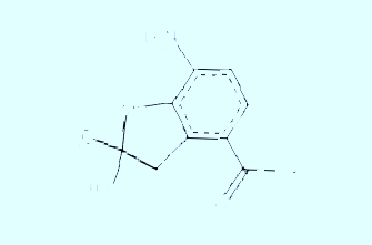 CC(=O)c1ccc(N)c2c1CC(C)(C)O2